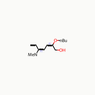 C=C/C(=C\C=C(/CO)OCCCC)NC